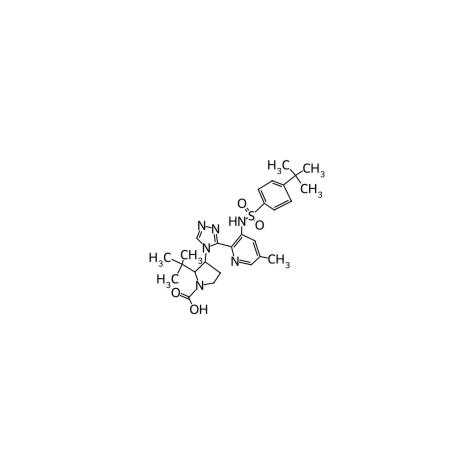 Cc1cnc(-c2nncn2C2CCN(C(=O)O)C2C(C)(C)C)c(NS(=O)(=O)c2ccc(C(C)(C)C)cc2)c1